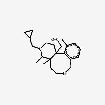 Cc1cccc2c1C1(CC=O)CCN(CC3CC3)C(C)C1(C)CCNC2